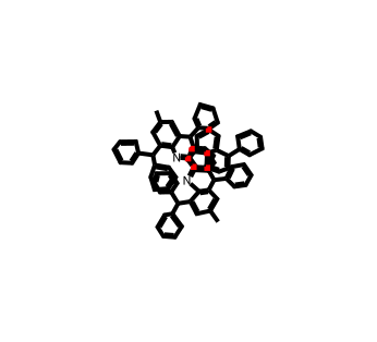 Cc1cc(C(c2ccccc2)c2ccccc2)c(N=C2C(=Nc3c(C(c4ccccc4)c4ccccc4)cc(C)cc3C(c3ccccc3)c3ccccc3)c3ccc(-c4ccccc4)c4cccc2c34)c(C(c2ccccc2)c2ccccc2)c1